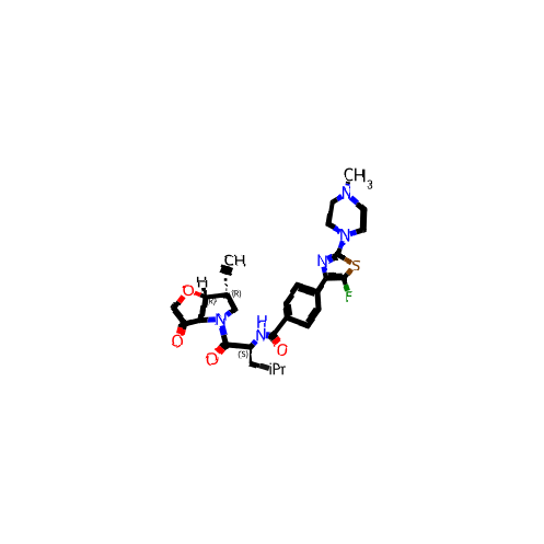 C#C[C@@H]1CN(C(=O)[C@H](CC(C)C)NC(=O)c2ccc(-c3nc(N4CCN(C)CC4)sc3F)cc2)C2C(=O)CO[C@@H]21